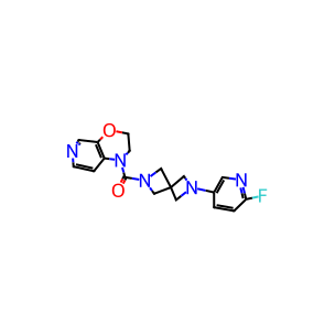 O=C(N1CC2(C1)CN(c1ccc(F)nc1)C2)N1CCOc2cnccc21